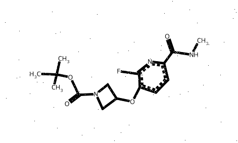 CNC(=O)c1ccc(OC2CN(C(=O)OC(C)(C)C)C2)c(F)n1